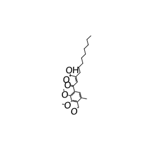 CCCCCCCCCC(=CC(=O)c1cc(C)c(C=O)c(OC)c1OC)C(=O)O